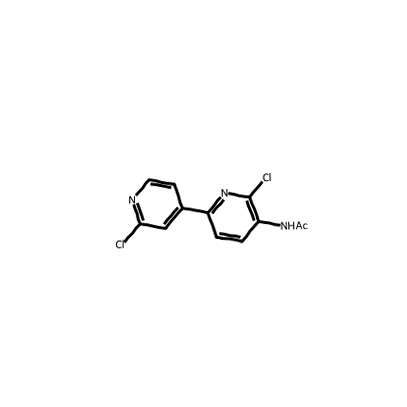 CC(=O)Nc1ccc(-c2ccnc(Cl)c2)nc1Cl